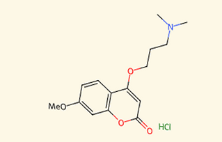 COc1ccc2c(OCCCN(C)C)cc(=O)oc2c1.Cl